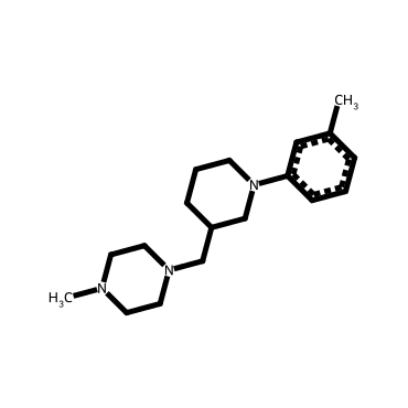 Cc1cccc(N2CCCC(CN3CCN(C)CC3)C2)c1